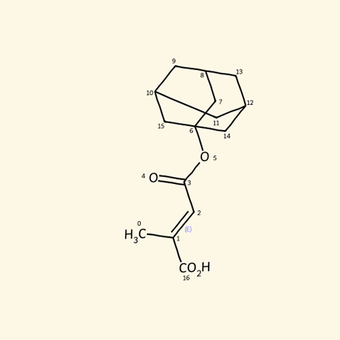 C/C(=C\C(=O)OC12CC3CC(CC(C3)C1)C2)C(=O)O